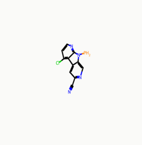 N#Cc1cc2c3c(Cl)ccnc3n(P)c2cn1